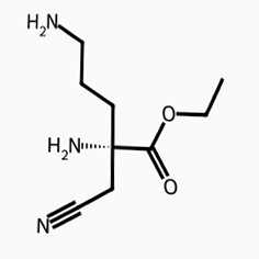 CCOC(=O)[C@@](N)(CC#N)CCCN